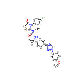 CC(C)c1cc(F)ccc1N1C(=O)CS/C1=N\C(=O)NC1(c2ccc(-c3ncn(-c4ccc(OC(F)(F)F)cc4)n3)cc2)CC1